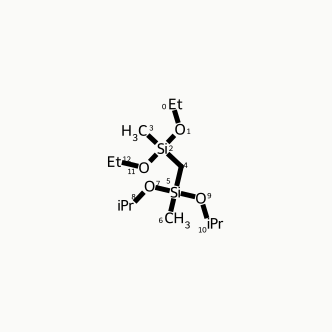 CCO[Si](C)(C[Si](C)(OC(C)C)OC(C)C)OCC